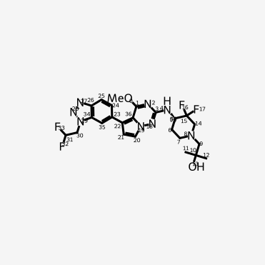 COc1nc(N[C@@H]2CCN(CC(C)(C)O)CC2(F)F)nn2ccc(-c3ccc4nnn(CC(F)F)c4c3)c12